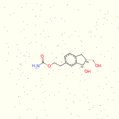 NC(=O)OCCc1ccc2c(c1)[C@@H](O)[C@@H](CO)C2